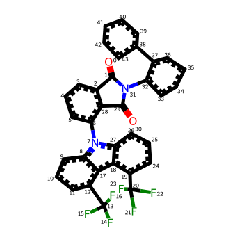 O=C1c2cccc(-n3c4cccc(C(F)(F)F)c4c4c(C(F)(F)F)cccc43)c2C(=O)N1c1ccccc1-c1ccccc1